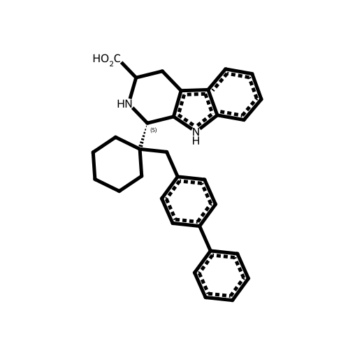 O=C(O)C1Cc2c([nH]c3ccccc23)[C@H](C2(Cc3ccc(-c4ccccc4)cc3)CCCCC2)N1